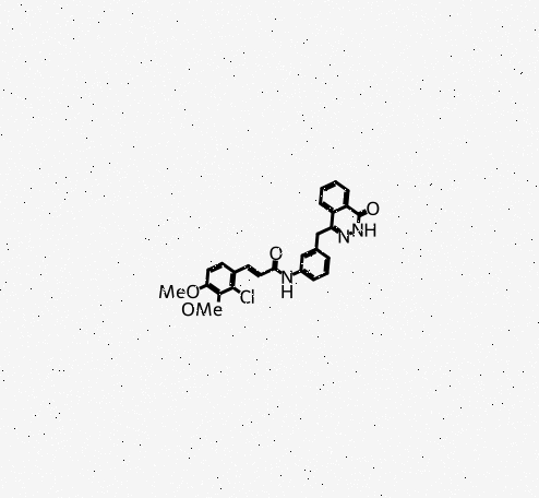 COc1ccc(/C=C/C(=O)Nc2cccc(Cc3n[nH]c(=O)c4ccccc34)c2)c(Cl)c1OC